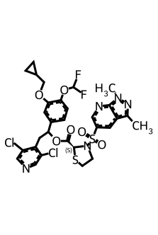 Cc1nn(C)c2ncc(S(=O)(=O)N3CCS[C@H]3C(=O)OC(Cc3c(Cl)cncc3Cl)c3ccc(OC(F)F)c(OCC4CC4)c3)cc12